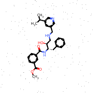 COC(=O)c1cccc(C(=O)N[C@@H](Cc2ccccc2)[C@@H](O)CNCc2cncc(C(C)C)c2)c1